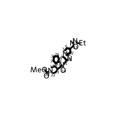 CCc1nnc(-c2ccn3cc(CN(C(=O)C4CCN(C(=O)OC)CC4)c4ccccc4)nc3c2)o1